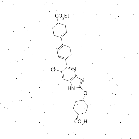 CCOC(=O)C1CC=C(C2=CC=C(c3nc4nc(O[C@H]5CC[C@H](C(=O)O)CC5)[nH]c4cc3Cl)CC2)CC1